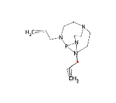 C=CCN1CCN2CCN(CC=C)P1N(CC=C)CC2